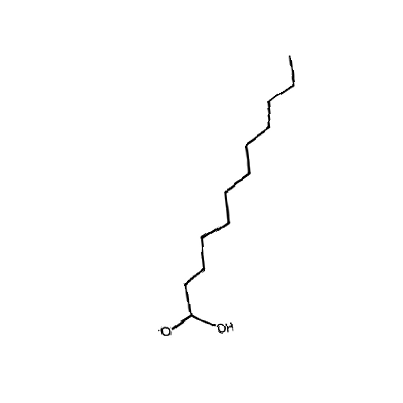 CCCCCCCCCCCC([O])O